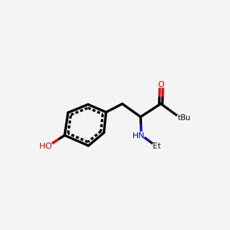 CCNC(Cc1ccc(O)cc1)C(=O)C(C)(C)C